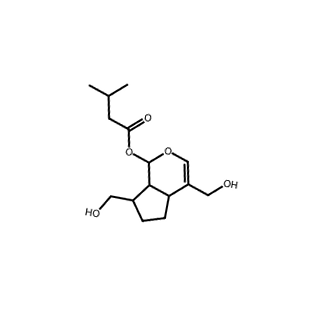 CC(C)CC(=O)OC1OC=C(CO)C2CCC(CO)C12